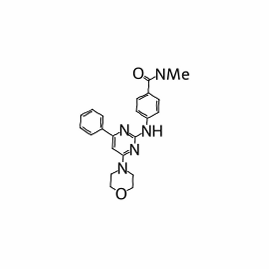 CNC(=O)c1ccc(Nc2nc(-c3ccccc3)cc(N3CCOCC3)n2)cc1